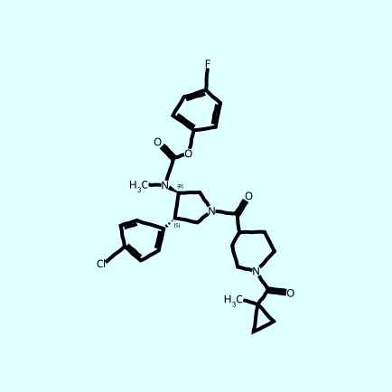 CN(C(=O)Oc1ccc(F)cc1)[C@H]1CN(C(=O)C2CCN(C(=O)C3(C)CC3)CC2)C[C@@H]1c1ccc(Cl)cc1